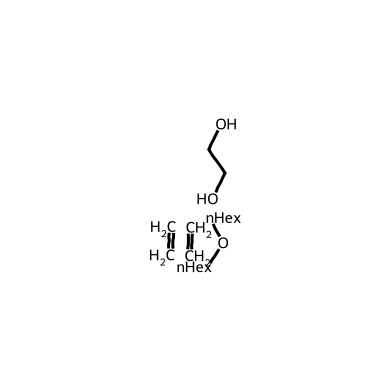 C=C.C=C.CCCCCCOCCCCCC.OCCO